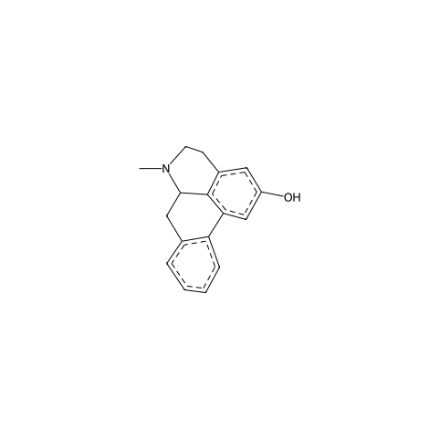 CN1CCc2cc(O)cc3c2C1Cc1ccccc1-3